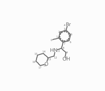 Cc1cc(Br)ccc1C(CO)NCC1CCCCO1